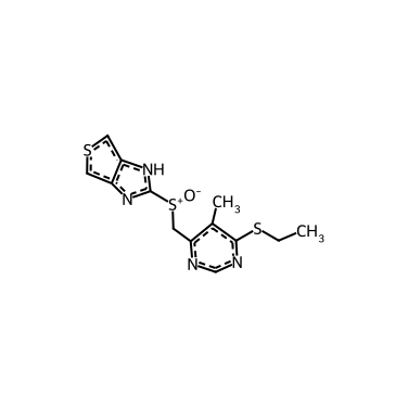 CCSc1ncnc(C[S+]([O-])c2nc3cscc3[nH]2)c1C